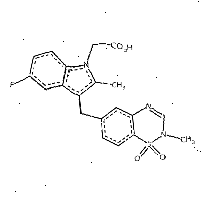 Cc1c(Cc2ccc3c(c2)N=CN(C)S3(=O)=O)c2cc(F)ccc2n1CC(=O)O